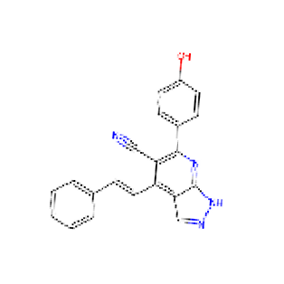 N#Cc1c(-c2ccc(O)cc2)nc2[nH]ncc2c1/C=C/c1ccccc1